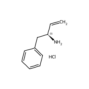 C=C[C@@H](N)Cc1ccccc1.Cl